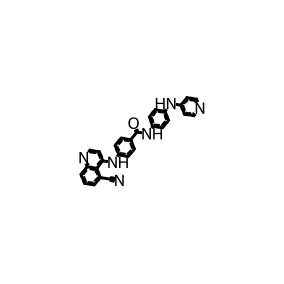 N#Cc1cccc2nccc(Nc3ccc(C(=O)Nc4ccc(Nc5ccncc5)cc4)cc3)c12